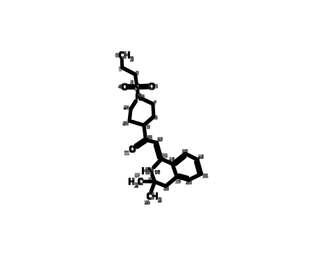 CCCS(=O)(=O)N1CCC(C(=O)C=C2NC(C)(C)Cc3ccccc32)CC1